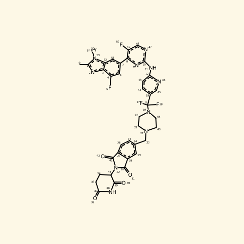 Cc1nc2c(F)cc(-c3nc(Nc4ccc(C(F)(F)N5CCN(Cc6ccc7c(c6)C(=O)N(C6CCC(=O)NC6=O)C7=O)CC5)cn4)ncc3F)cc2n1C(C)C